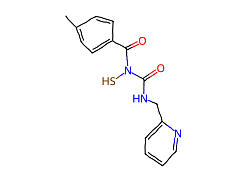 Cc1ccc(C(=O)N(S)C(=O)NCc2ccccn2)cc1